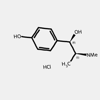 CN[C@@H](C)[C@H](O)c1ccc(O)cc1.Cl